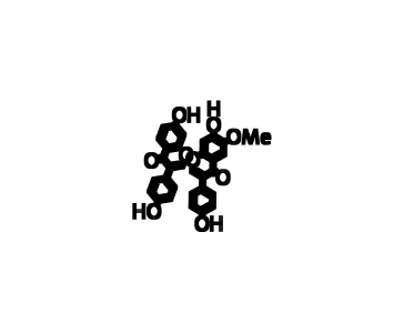 COc1cc2c(=O)c(-c3ccc(O)cc3)coc2cc1O.O=c1c(-c2ccc(O)cc2)coc2cc(O)ccc12